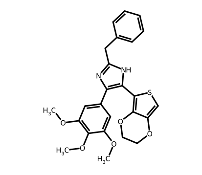 COc1cc(-c2nc(Cc3ccccc3)[nH]c2-c2scc3c2OCCO3)cc(OC)c1OC